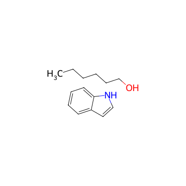 CCCCCCO.c1ccc2[nH]ccc2c1